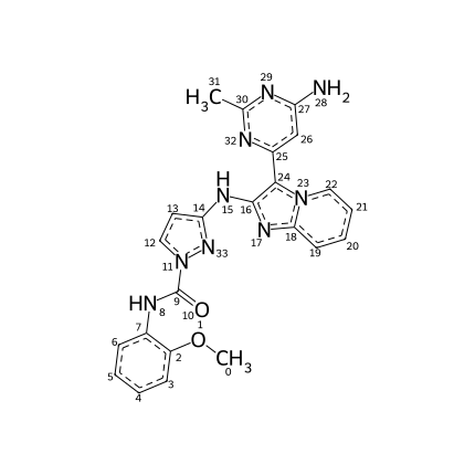 COc1ccccc1NC(=O)n1ccc(Nc2nc3ccccn3c2-c2cc(N)nc(C)n2)n1